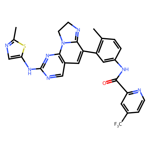 Cc1ncc(Nc2ncc3c(n2)N2CCN=C2C(c2cc(NC(=O)c4cc(C(F)(F)F)ccn4)ccc2C)=C3)s1